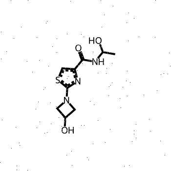 CC(O)NC(=O)c1csc(N2CC(O)C2)n1